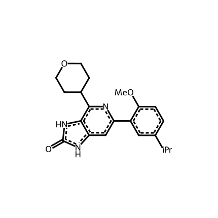 COc1ccc(C(C)C)cc1-c1cc2[nH]c(=O)[nH]c2c(C2CCOCC2)n1